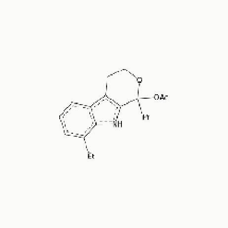 CCc1cccc2c3c([nH]c12)C(OC(C)=O)(C(C)C)OCC3